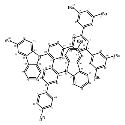 CC(C)(C)c1cc(-c2nc(-c3cc(C(C)(C)C)cc(C(C)(C)C)c3)nc(-c3ccc(-n4c5ccccc5c5cc(C(C)(C)C)ccc54)c(-c4ccc(-c5ccc(C#N)cc5)cc4-n4c5ccccc5c5cc(C(C)(C)C)ccc54)c3)n2)cc(C(C)(C)C)c1